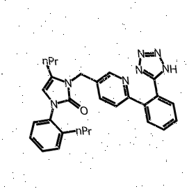 CCCc1ccccc1-n1cc(CCC)n(Cc2ccc(-c3ccccc3-c3nnn[nH]3)nc2)c1=O